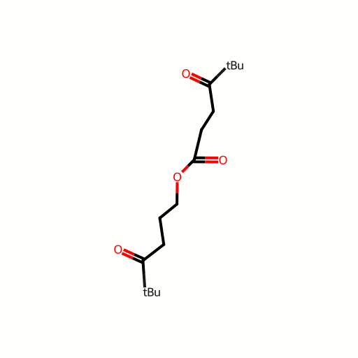 CC(C)(C)C(=O)CCCOC(=O)CCC(=O)C(C)(C)C